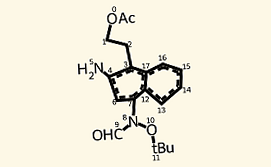 CC(=O)OCCc1c(N)cc(N(C=O)OC(C)(C)C)c2ccccc12